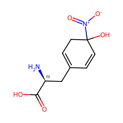 N[C@@H](CC1=CCC(O)([N+](=O)[O-])C=C1)C(=O)O